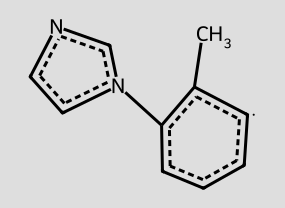 Cc1[c]cccc1-n1ccnc1